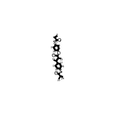 C=CC(=O)Sc1ccc(OC(=O)/C(C)=C(\C)c2ccc(SC(=O)C(=C)C)cc2)cc1